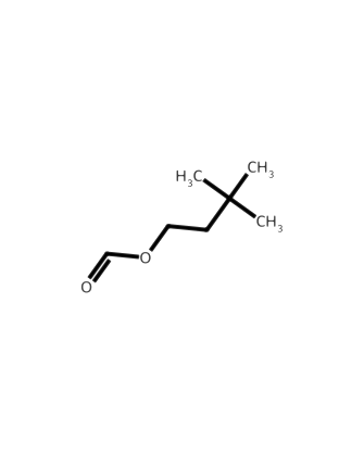 CC(C)(C)CCOC=O